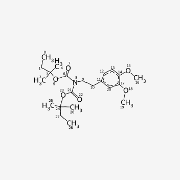 CCC(C)(C)OC(=O)N(CCc1ccc(OC)c(OC)c1)C(=O)OC(C)(C)CC